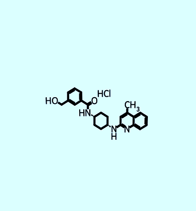 Cc1cc(N[C@H]2CC[C@@H](NC(=O)c3cccc(CO)c3)CC2)nc2ccccc12.Cl